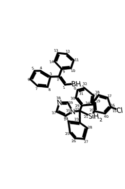 BC=C(c1ccccc1)c1ccccc1.Clc1cccc([SiH2]C(c2ccccc2)(c2ccccc2)n2ccnc2)c1